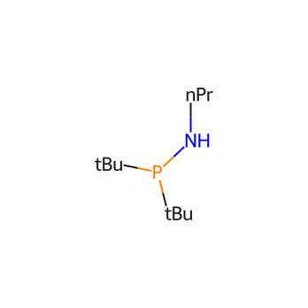 CCCNP(C(C)(C)C)C(C)(C)C